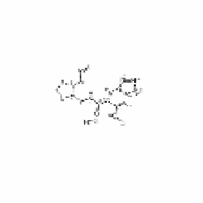 C=CCN1CCCC1CNC(=O)c1cc2nn[nH]c2cc1OC.Cl